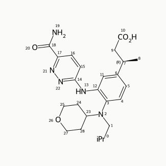 CC(C)CN(c1ccc([C@H](C)CC(=O)O)cc1Nc1ccc(C(N)=O)nn1)C1CCOCC1